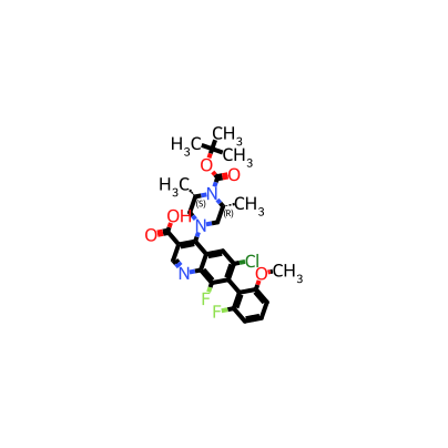 COc1cccc(F)c1-c1c(Cl)cc2c(N3C[C@@H](C)N(C(=O)OC(C)(C)C)[C@@H](C)C3)c(C(=O)O)cnc2c1F